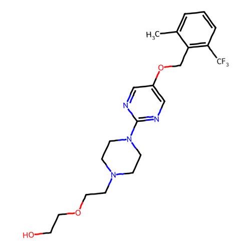 Cc1cccc(C(F)(F)F)c1COc1cnc(N2CCN(CCOCCO)CC2)nc1